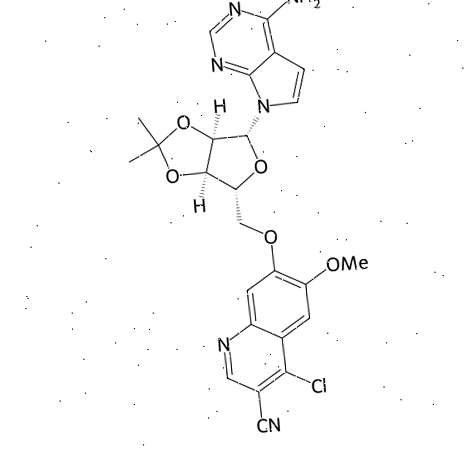 COc1cc2c(Cl)c(C#N)cnc2cc1OC[C@H]1O[C@@H](n2ccc3c(N)ncnc32)[C@@H]2OC(C)(C)O[C@@H]21